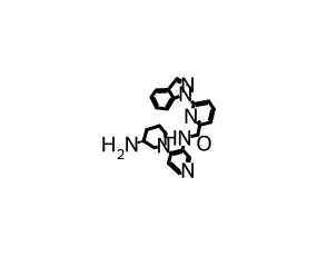 N[C@H]1CCCN(c2ccncc2NC(=O)c2cccc(-n3ncc4ccccc43)n2)C1